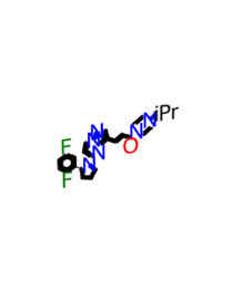 CC(C)N1CCN(C(=O)/C=C/c2cnn3ccc(N4CCC[C@@H]4c4cc(F)ccc4F)nc23)CC1